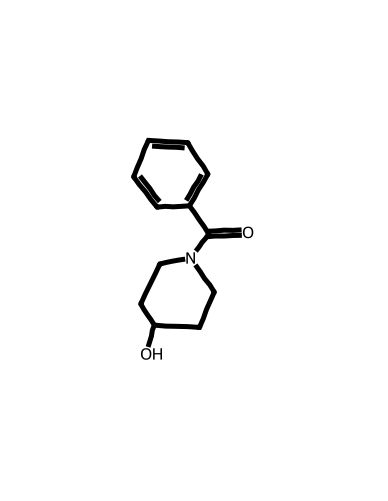 O=C(c1ccccc1)N1CCC(O)CC1